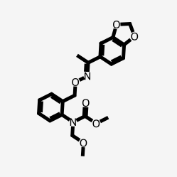 COCN(C(=O)OC)c1ccccc1CON=C(C)c1ccc2c(c1)OCO2